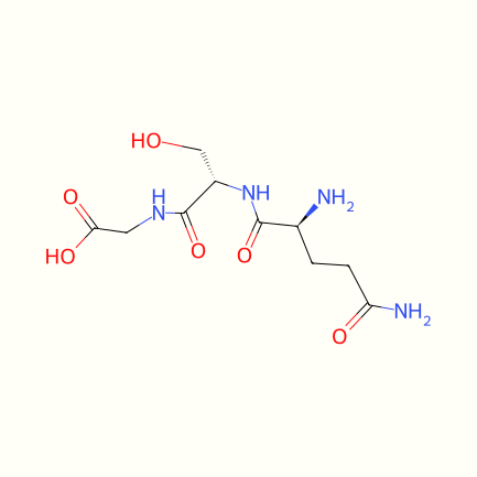 NC(=O)CC[C@H](N)C(=O)N[C@@H](CO)C(=O)NCC(=O)O